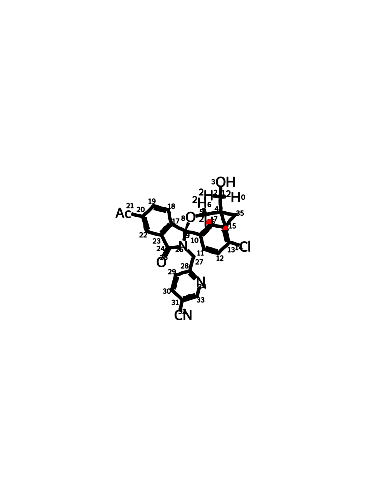 [2H]C([2H])(O)C1(C([2H])([2H])O[C@]2(c3ccc(Cl)cc3)c3ccc(C(C)=O)cc3C(=O)N2Cc2ccc(C#N)cn2)CC1